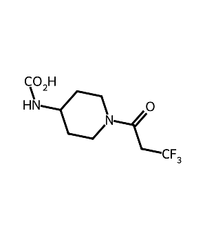 O=C(O)NC1CCN(C(=O)CC(F)(F)F)CC1